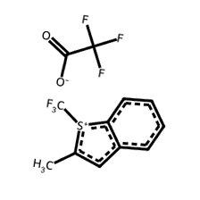 Cc1cc2ccccc2[s+]1C(F)(F)F.O=C([O-])C(F)(F)F